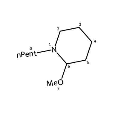 CCCCCN1CCCCC1OC